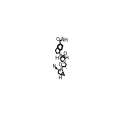 CNC(=O)c1ccc2c(c1)CC[C@@H]2N1C(=O)[C@@H]2C[C@H]1CN2C[C@H](C)C(=O)N1C2C[C@H]2C[C@H]1C#N